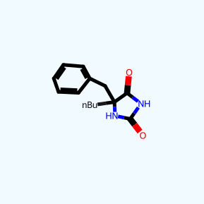 CCCCC1(Cc2ccccc2)NC(=O)NC1=O